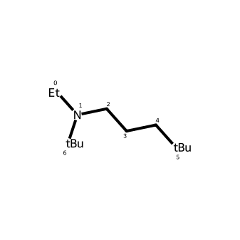 CCN(CCCC(C)(C)C)C(C)(C)C